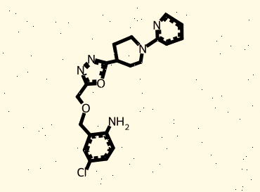 Nc1ccc(Cl)cc1COCc1nnc(C2CCN(c3ccccn3)CC2)o1